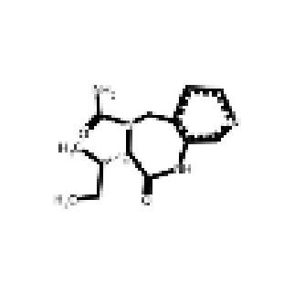 CCC(C)[C@H]1C(=O)Nc2cnccc2CN1C(N)=O